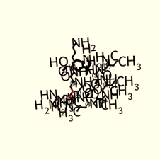 CC[C@H](C)[C@H](NC(=O)[C@H](Cc1c[nH]c2ccccc12)NC(=O)[C@@H](N)CC(C)C)C(=O)N[C@@H](C)C(=O)N[C@@H](CC(C)C)C(=O)N[C@@H](CCCNC(=N)N)C(=O)N[C@@H](CCCCN)C(=O)N[C@@H](CCCCN)C(=O)O